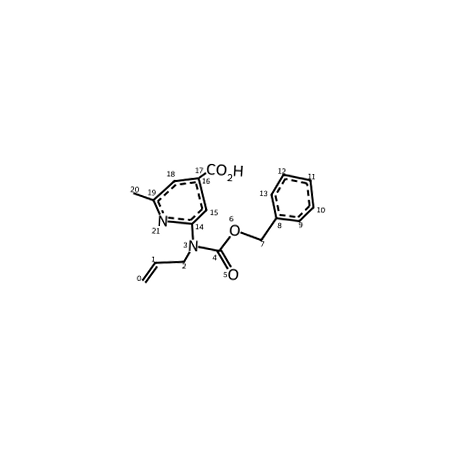 C=CCN(C(=O)OCc1ccccc1)c1cc(C(=O)O)cc(C)n1